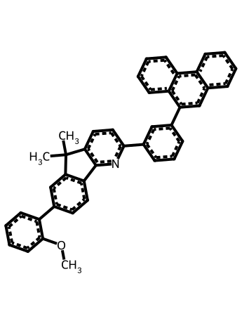 COc1ccccc1-c1ccc2c(c1)C(C)(C)c1ccc(-c3cccc(-c4cc5ccccc5c5ccccc45)c3)nc1-2